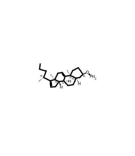 CCC[C@@H](C)C1=CC[C@H]2[C@@H]3CC[C@@H]4C[C@H](OP)CC[C@]4(C)C3=CC[C@]12C